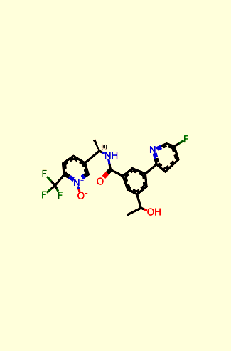 CC(O)c1cc(C(=O)N[C@H](C)c2ccc(C(F)(F)F)[n+]([O-])c2)cc(-c2ccc(F)cn2)c1